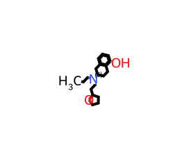 CCCN(CCC1CCCO1)[C@H]1CCc2c(O)cccc2C1